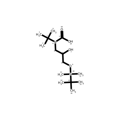 CC(C)(C)N(CC(O)CO[Si](C)(C)C(C)(C)C)C(=O)O